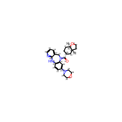 O=C([C@@H]1CC[C@H]2OCC[C@H]2C1)N1Cc2cccnc2Nc2ccc(N3CCOCC3)cc21